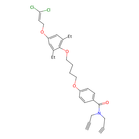 C#CCN(CC#C)C(=O)c1ccc(OCCCCOc2c(CC)cc(OCC=C(Cl)Cl)cc2CC)cc1